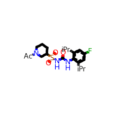 CC(=O)N1CCCC(S(=O)(=O)NC(=O)Nc2c(C(C)C)cc(F)cc2C(C)C)C1